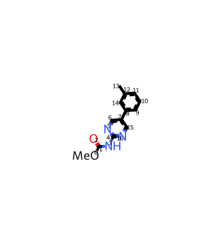 COC(=O)Nc1ncc(-c2cccc(C)c2)cn1